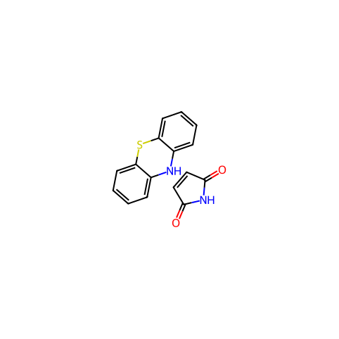 O=C1C=CC(=O)N1.c1ccc2c(c1)Nc1ccccc1S2